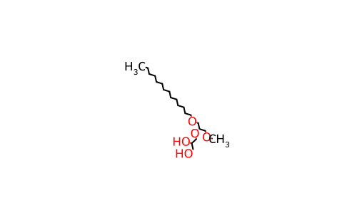 CCCCCCCCCCCCCCOCC(COC)OCC(O)CO